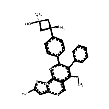 COc1c(-c2ccccc2)c(-c2ccc([C@]3(N)C[C@@](C)(O)C3)cc2)nc2c1cnc1cc(C)nn12